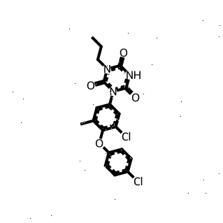 CCCn1c(=O)[nH]c(=O)n(-c2cc(C)c(Oc3ccc(Cl)cc3)c(Cl)c2)c1=O